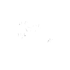 Cc1cc(C)c(C)c(OCCCCCBr)c1